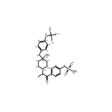 CC(C(=O)c1ccc(CS(=O)(=O)O)cc1)N1CCC(O)(Cc2ccc(OC(F)(F)F)cc2)CC1